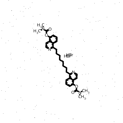 Br.Br.CN(C)C(=O)Oc1cccc2c(CCCCCCCCc3nccc4c(OC(=O)N(C)C)cccc34)nccc12